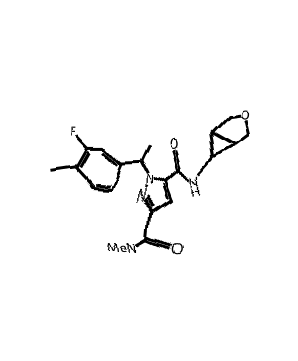 CNC(=O)c1cc(C(=O)NC2C3COCC32)n(C(C)c2ccc(C)c(F)c2)n1